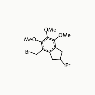 COc1c(CBr)c2c(c(OC)c1OC)CC(C(C)C)C2